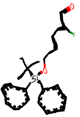 CC(C)(C)[Si](OCCCC(F)C=O)(c1ccccc1)c1ccccc1